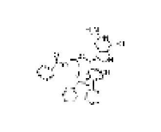 C#C[C@@]1(OC(=O)c2ccccc2)[C@H](OC(=O)c2ccccc2)/C(=C\OC(=O)c2ccccc2)O[C@H]1n1cnc2c(Cl)nc(N)nc21